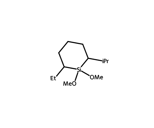 CCC1CCCC(C(C)C)[Si]1(OC)OC